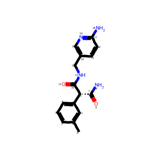 Cc1cccc([C@@H](C(N)=O)C(=O)NCc2ccc(N)nc2)c1